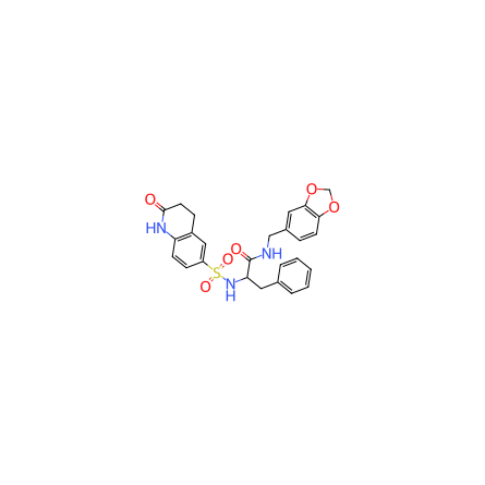 O=C1CCc2cc(S(=O)(=O)NC(Cc3ccccc3)C(=O)NCc3ccc4c(c3)OCO4)ccc2N1